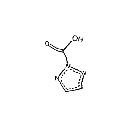 O=C(O)n1n[c]cn1